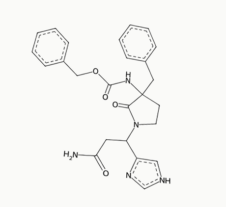 NC(=O)CC(c1c[nH]cn1)N1CCC(Cc2ccccc2)(NC(=O)OCc2ccccc2)C1=O